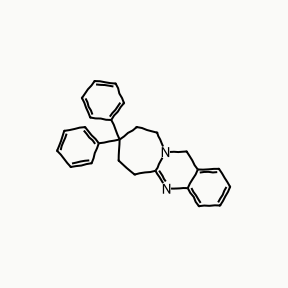 c1ccc(C2(c3ccccc3)CCC3=Nc4ccccc4CN3CC2)cc1